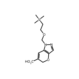 C[Si](C)(C)CCOCn1ncc2c1C=C(C(=O)O)CO2